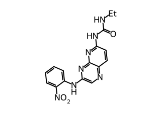 CCNC(=O)Nc1ccc2ncc(Nc3ccccc3[N+](=O)[O-])nc2n1